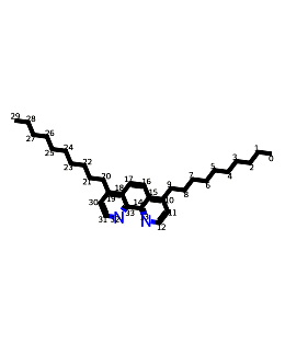 CCCCCCCCCCc1ccnc2c1ccc1c(CCCCCCCCCC)ccnc12